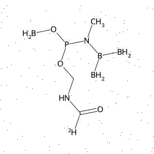 [2H]C(=O)NCOP(OB)N(C)B(B)B